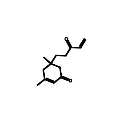 C=CC(=O)CCC1(C)CC(=O)C=C(C)C1